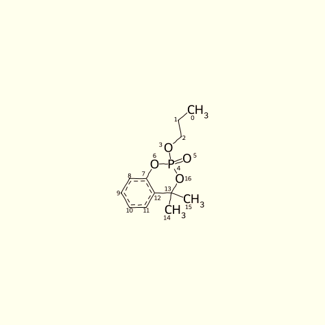 CCCOP1(=O)Oc2ccccc2C(C)(C)O1